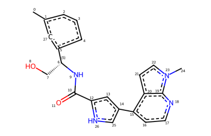 Cc1cccc([C@@H](CO)NC(=O)c2cc(-c3ccnc4c3ccn4C)c[nH]2)c1